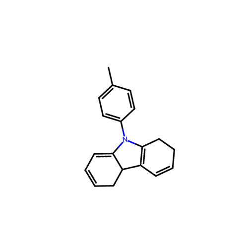 Cc1ccc(N2C3=CC=CCC3C3=C2CCC=C3)cc1